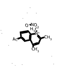 CC(=O)c1ccc2c(c1)c(C)cc(C)[n+]2C.O=[N+]([O-])[O-]